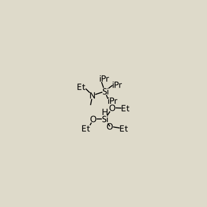 CCN(C)[Si](C(C)C)(C(C)C)C(C)C.CCO[SiH](OCC)OCC